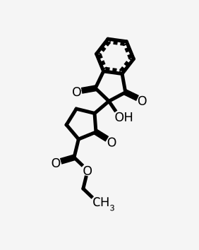 CCOC(=O)C1CCC(C2(O)C(=O)c3ccccc3C2=O)C1=O